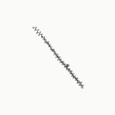 CCCCCCCCCCCCCCCCCCCCCCCCCCCCCCCCC[C](F)CCCCCCCCCCCCCCCCC